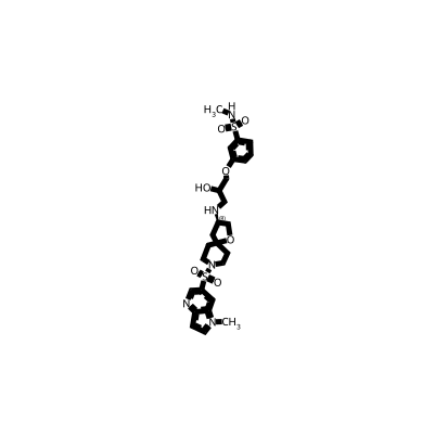 CNS(=O)(=O)c1cccc(OCC(O)CN[C@H]2COC3(CCN(S(=O)(=O)c4cnc5ccn(C)c5c4)CC3)C2)c1